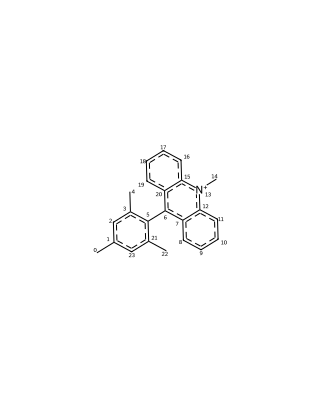 Cc1cc(C)c(-c2c3ccccc3[n+](C)c3ccccc23)c(C)c1